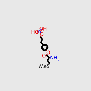 CSCCC(N)C(=O)Oc1ccc(CCCON(O)O)cc1